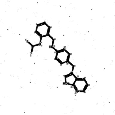 FC(F)Oc1ccccc1CNc1ccc(Cc2c[nH]c3ncccc23)cn1